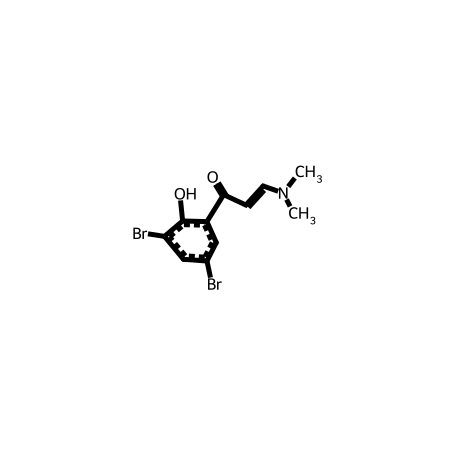 CN(C)C=CC(=O)c1cc(Br)cc(Br)c1O